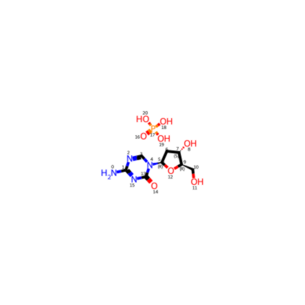 Nc1ncn([C@H]2C[C@H](O)[C@@H](CO)O2)c(=O)n1.O=P(O)(O)O